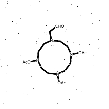 CC(=O)ON1CCN(CC=O)CCN(OC(C)=O)CCN(OC(C)=O)CC1